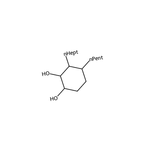 CCCCCCCC1C(CCCCC)CCC(O)C1O